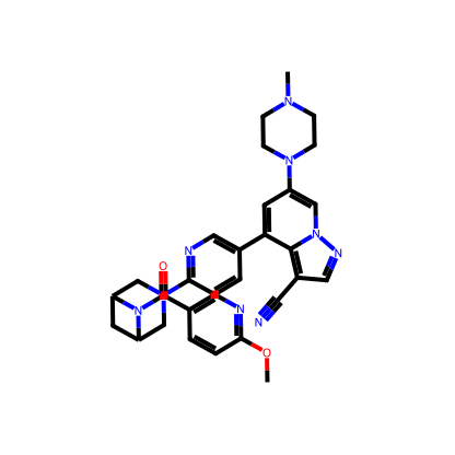 COc1ccc(C(=O)N2C3CC2CN(c2ccc(-c4cc(N5CCN(C)CC5)cn5ncc(C#N)c45)cn2)C3)cn1